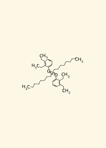 CCCCCCC[CH2][Sn]([CH2]CCCCCCC)([O]c1cccc(CC)c1CC)[O]c1cccc(CC)c1CC